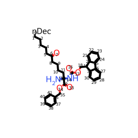 CCCCCCCCCCCCCCCC(=O)CCCCC(N)(NC(=O)OCC1c2ccccc2-c2ccccc21)C(=O)OCc1ccccc1